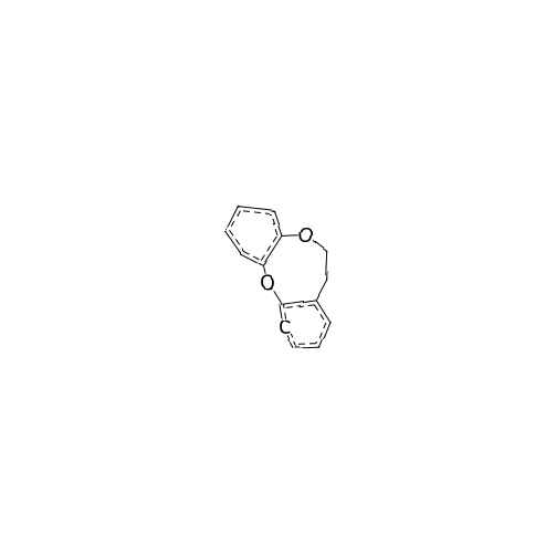 c1ccc2c(c1)CCOc1ccccc1O2